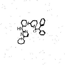 O=C(C(c1ccccc1)c1ccccc1)N1CCCC(N2CCCC(Nc3nccc(N4CCCCCC4)n3)C2)C1